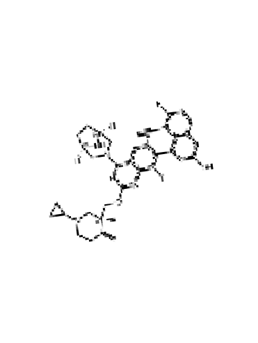 C#Cc1c(F)ccc2cc(O)cc(-c3c(F)cc4c(N5C[C@H]6CC[C@@H](C5)N6)nc(OC[C@@]5(C)CN(C6CC6)CCC5=C)nc4c3F)c12